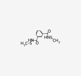 CSNC(=O)c1cccc(C(=O)NSC)c1